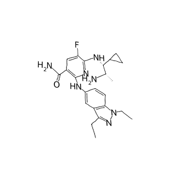 CCc1nn(CC)c2ccc(Nc3nc(N[C@H](C4CC4)[C@H](C)N)c(F)cc3C(N)=O)cc12